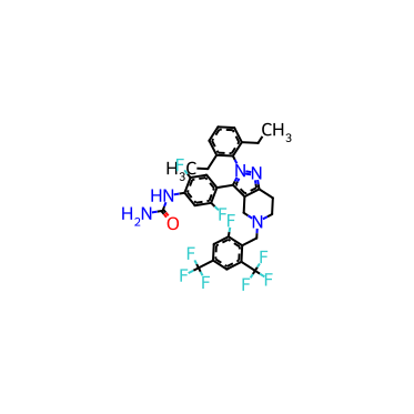 CCc1cccc(CC)c1-n1nc2c(c1-c1cc(F)c(NC(N)=O)cc1F)CN(Cc1c(F)cc(C(F)(F)F)cc1C(F)(F)F)CC2